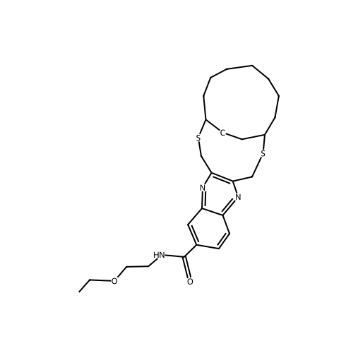 CCOCCNC(=O)c1ccc2nc3c(nc2c1)CSC1CCCCCCCC(CC1)SC3